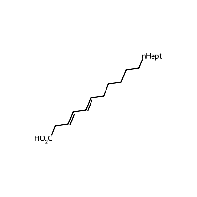 CCCCCCCCCCCCC=CC=CCC(=O)O